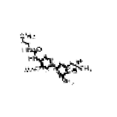 COCCNC(=O)Nc1ccc(-c2nc(N)cc(CS(C)(=O)=O)n2)cc1OC